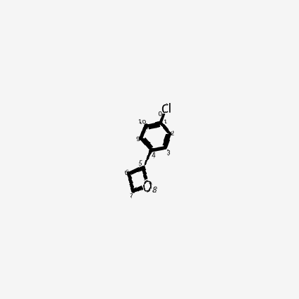 Clc1ccc([C@@H]2CCO2)cc1